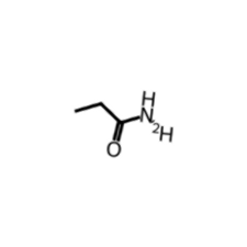 [2H]NC(=O)CC